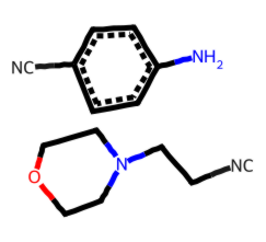 N#Cc1ccc(N)cc1.[C-]#[N+]CCN1CCOCC1